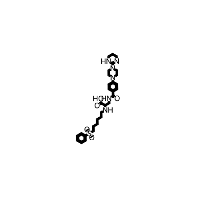 O=C(NCC(NCCCCCCS(=O)(=O)c1ccccc1)C(=O)O)c1ccc(N2CCN(C3=NCCCN3)CC2)cc1